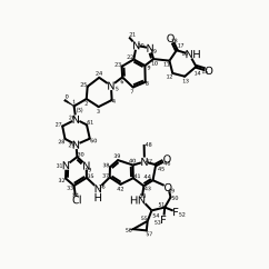 C[C@@H](C1CCN(c2ccc3c(C4CCC(=O)NC4=O)nn(C)c3c2)CC1)N1CCN(c2ncc(Cl)c(Nc3ccc4c(c3)c3c(c(=O)n4C)OCC(F)(F)C(C4CC4)N3)n2)CC1